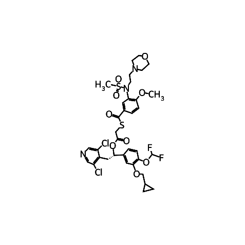 COc1ccc(C(=O)SCC(=O)O[C@@H](Cc2c(Cl)cncc2Cl)c2ccc(OC(F)F)c(OCC3CC3)c2)cc1N(CCN1CCOCC1)S(C)(=O)=O